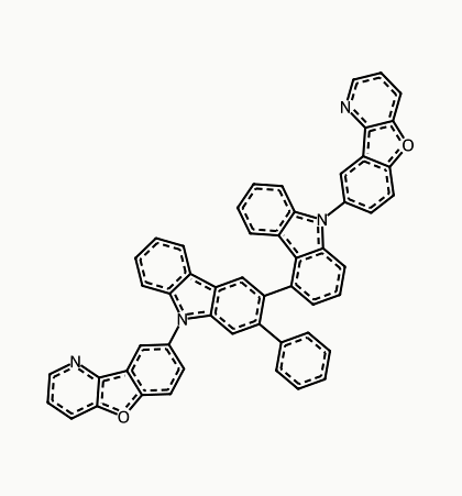 c1ccc(-c2cc3c(cc2-c2cccc4c2c2ccccc2n4-c2ccc4oc5cccnc5c4c2)c2ccccc2n3-c2ccc3oc4cccnc4c3c2)cc1